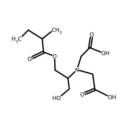 CCC(C)C(=O)OCC(CO)N(CC(=O)O)CC(=O)O